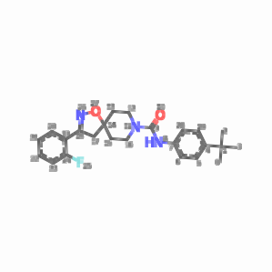 CC(C)(C)c1ccc(NC(=O)N2CCC3(CC2)CC(c2ccccc2F)=NO3)cc1